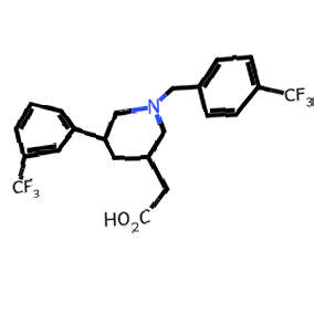 O=C(O)CC1CC(c2cccc(C(F)(F)F)c2)CN(Cc2ccc(C(F)(F)F)cc2)C1